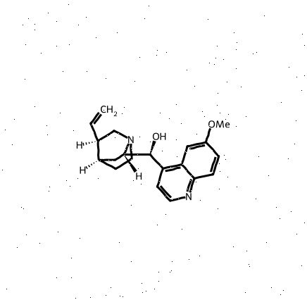 C=C[C@H]1CN2CC[C@@H]1C[C@H]2[C@@H](O)c1ccnc2ccc(OC)cc12